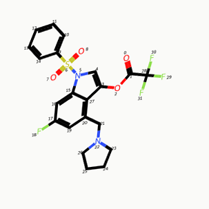 O=C(Oc1cn(S(=O)(=O)c2ccccc2)c2cc(F)cc(CN3CCCC3)c12)C(F)(F)F